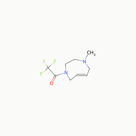 CN1C/C=C/CN(C(=O)C(F)(F)F)CC1